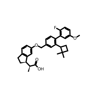 COc1ccc(F)c(-c2ccc(COc3ccc4c(c3)[C@@H]([C@H](C)C(=O)O)CC4)cc2C2CCC2(C)C)c1